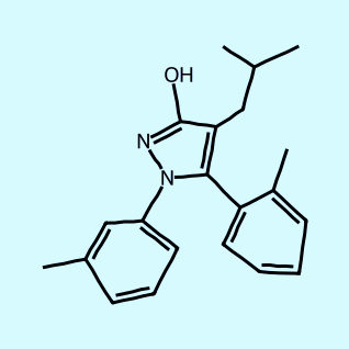 Cc1cccc(-n2nc(O)c(CC(C)C)c2-c2ccccc2C)c1